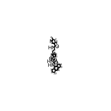 Cc1cnc(C(=O)NCCn2ccc(S(=O)(=O)NC(=O)Nc3c4c(cc5c3CCC5)CCC4)n2)cn1